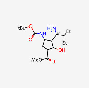 CCC(CC)[C@H](N)C1C(NC(=O)OC(C)(C)C)CC(C(=O)OC)C1O